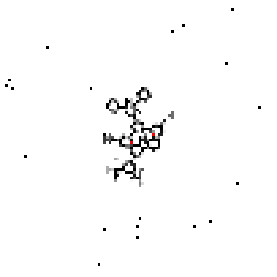 N#Cc1cccc(-c2cc(-c3nc(-c4ccccc4)nc(-c4ccccc4)n3)cc(-c3cccc(C#N)c3)c2-n2c3ccccc3c3cc(-c4cc(C(F)(F)F)cc(C(F)(F)F)c4)ccc32)c1